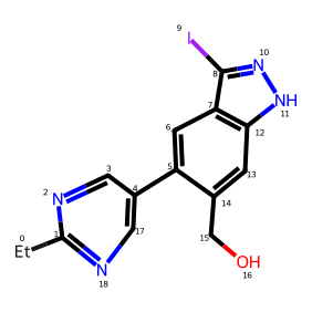 CCc1ncc(-c2cc3c(I)n[nH]c3cc2CO)cn1